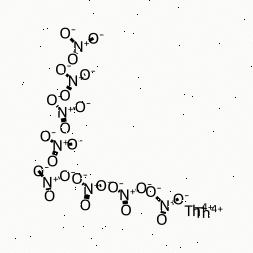 O=[N+]([O-])[O-].O=[N+]([O-])[O-].O=[N+]([O-])[O-].O=[N+]([O-])[O-].O=[N+]([O-])[O-].O=[N+]([O-])[O-].O=[N+]([O-])[O-].O=[N+]([O-])[O-].[Th+4].[Th+4]